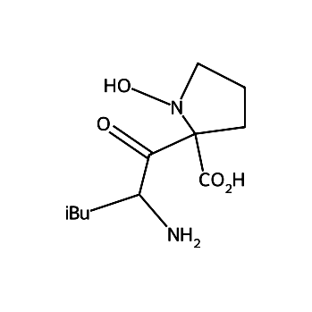 CCC(C)C(N)C(=O)C1(C(=O)O)CCCN1O